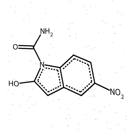 NC(=O)n1c(O)cc2cc([N+](=O)[O-])ccc21